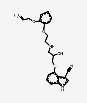 C=CCOc1ccccc1OCCNCC(O)COc1cccc2[nH]cc(C#N)c12